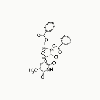 Cc1cn([C@H]2O[C@H](COC(=O)c3ccccc3)[C@H](OC(=O)c3ccccc3)C2Cl)c(=O)[nH]c1=O